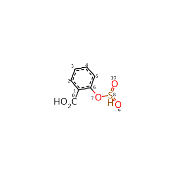 O=C(O)c1ccccc1O[SH](=O)=O